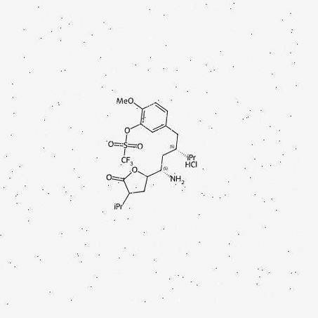 COc1ccc(C[C@@H](C[C@H](N)C2CC(C(C)C)C(=O)O2)C(C)C)cc1OS(=O)(=O)C(F)(F)F.Cl